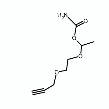 C#CCOCCOC(C)OC(N)=O